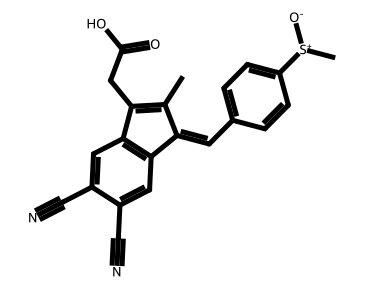 CC1=C(CC(=O)O)c2cc(C#N)c(C#N)cc2C1=Cc1ccc([S+](C)[O-])cc1